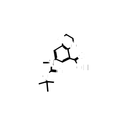 CN(C(=O)OC(C)(C)C)c1cc2c(c(C(=O)O)c1)OCCO2